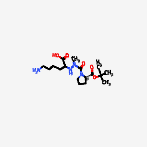 CN(NC(CCCCN)C(=O)O)C(=O)N1CCC[C@H]1C(=O)OC(C)(C)C